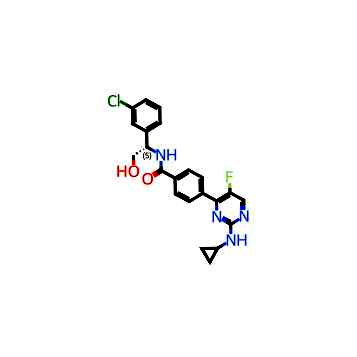 O=C(N[C@H](CO)c1cccc(Cl)c1)c1ccc(-c2nc(NC3CC3)ncc2F)cc1